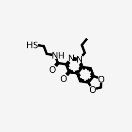 CCCn1nc(C(=O)NCCS)c(=O)c2cc3c(cc21)OCO3